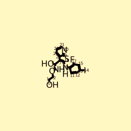 OCCONC(O)c1c(Nc2ccc(I)cc2F)sc2ncccc12